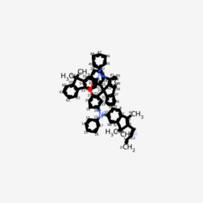 C=C/C=C\C1=C(C)c2ccc(N(c3ccccc3)c3ccc4c(c3)C3(c5ccccc5O4)c4ccccc4-c4cccc(N(c5ccccc5)c5ccc6c(c5)C(C)(C)c5ccccc5-6)c43)cc2C1(C)C